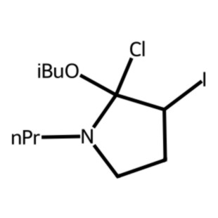 CCCN1CCC(I)C1(Cl)OCC(C)C